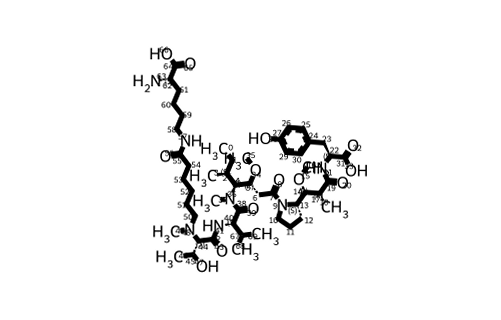 CC[C@H](C)[C@@H]([C@@H](CC(=O)N1CCC[C@H]1[C@H](OC)[C@@H](C)C(=O)N[C@@H](Cc1ccc(O)cc1)C(=O)O)OC)N(C)C(=O)[C@@H](NC(=O)[C@H](C(C)O)N(C)CCCCCC(=O)NCCCC[C@H](N)C(=O)O)C(C)C